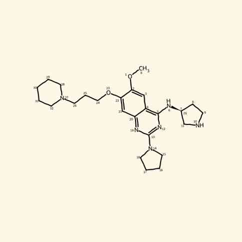 COc1cc2c(N[C@H]3CCNC3)nc(N3CCCC3)nc2cc1OCCCN1CCCCC1